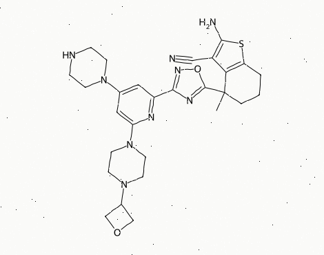 CC1(c2nc(-c3cc(N4CCNCC4)cc(N4CCN(C5COC5)CC4)n3)no2)CCCc2sc(N)c(C#N)c21